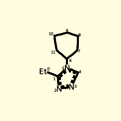 CCc1nncn1C1CCCCC1